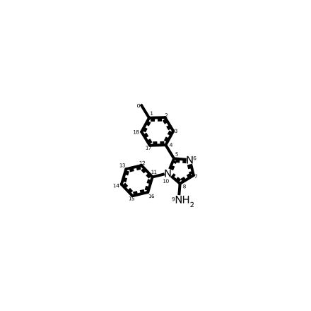 Cc1ccc(-c2ncc(N)n2-c2ccccc2)cc1